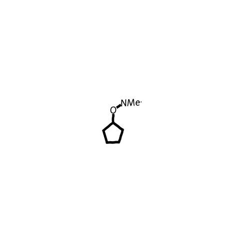 C[N]OC1CCCC1